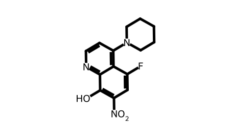 O=[N+]([O-])c1cc(F)c2c(N3CCCCC3)ccnc2c1O